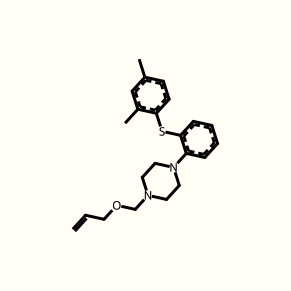 C=CCOCN1CCN(c2ccccc2Sc2ccc(C)cc2C)CC1